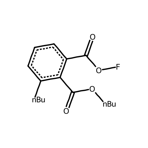 CCCCOC(=O)c1c(CCCC)cccc1C(=O)OF